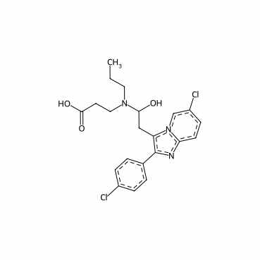 CCCN(CCC(=O)O)C(O)Cc1c(-c2ccc(Cl)cc2)nc2ccc(Cl)cn12